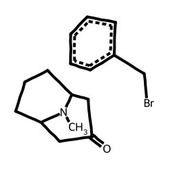 BrCc1ccccc1.CN1C2CCCC1CC(=O)C2